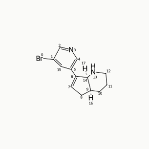 Brc1cncc(C2=CC[C@@H]3CCCN[C@H]23)c1